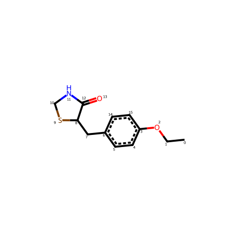 CCOc1ccc(CC2SCNC2=O)cc1